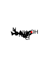 N#Cc1cc(-c2c[nH]c(-c3ccc(Cl)c(S(=O)(=O)N4CCC(O)CC4)c3)n2)ccc1C1CC1